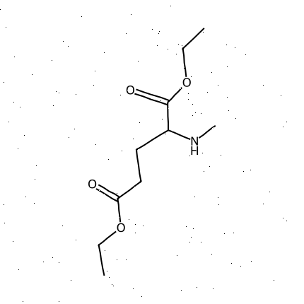 CCOC(=O)CCC(NC)C(=O)OCC